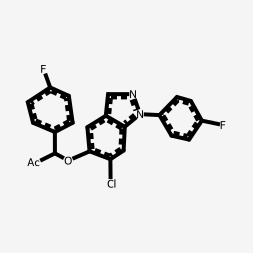 CC(=O)C(Oc1cc2cnn(-c3ccc(F)cc3)c2cc1Cl)c1ccc(F)cc1